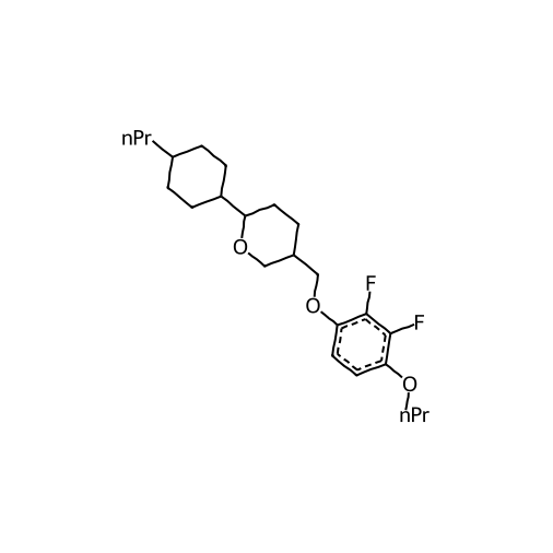 CCCOc1ccc(OCC2CCC(C3CCC(CCC)CC3)OC2)c(F)c1F